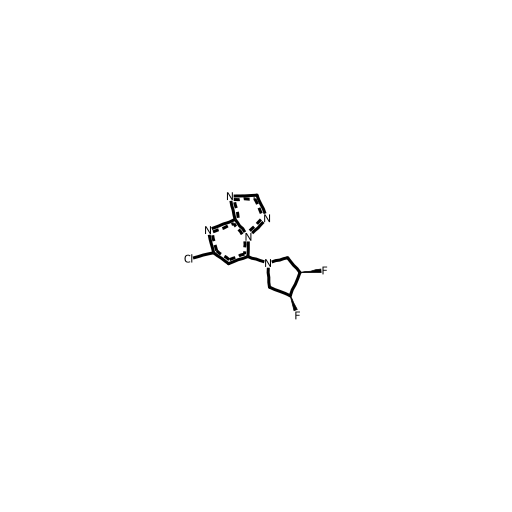 F[C@@H]1CN(c2cc(Cl)nc3ncnn23)C[C@@H]1F